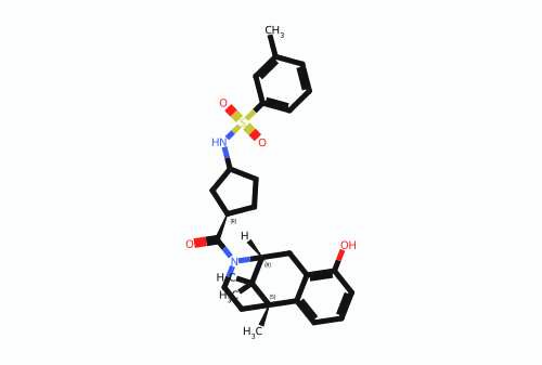 Cc1cccc(S(=O)(=O)NC2CC[C@@H](C(=O)N3CC[C@@]4(C)c5cccc(O)c5C[C@@H]3C4(C)C)C2)c1